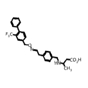 CC(CC(=O)O)NCc1ccc(CC=NOCc2ccc(-c3ccccc3)c(C(F)(F)F)c2)cc1